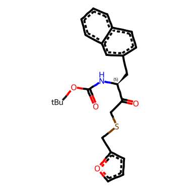 CC(C)(C)OC(=O)N[C@@H](Cc1ccc2ccccc2c1)C(=O)CSCc1ccco1